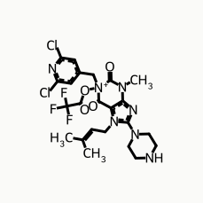 CC(C)=CCn1c(N2CCNCC2)nc2c1C(=O)[N+](Cc1cc(Cl)nc(Cl)c1)(OC(=O)C(F)(F)F)C(=O)N2C